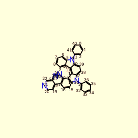 c1ccc(-n2c3ccccc3c3c4c5c(ccc6c7ccncc7c7nccn7c65)n(-c5ccccc5)c4ccc32)cc1